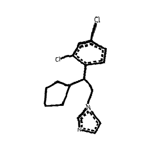 Clc1ccc(C(Cn2ccnc2)C2CCCC2)c(Cl)c1